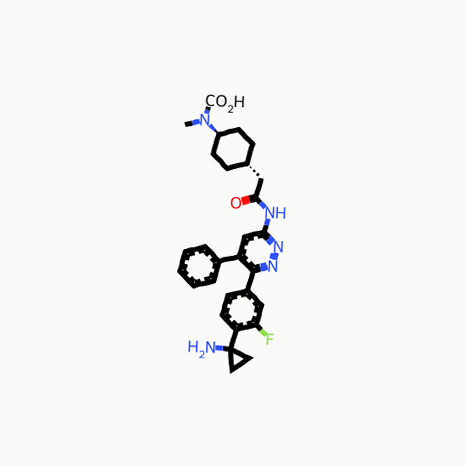 CN(C(=O)O)[C@H]1CC[C@H](CC(=O)Nc2cc(-c3ccccc3)c(-c3ccc(C4(N)CC4)c(F)c3)nn2)CC1